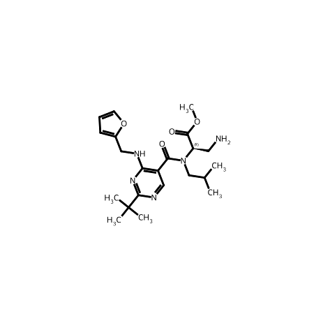 COC(=O)[C@@H](CN)N(CC(C)C)C(=O)c1cnc(C(C)(C)C)nc1NCc1ccco1